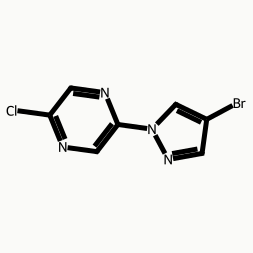 Clc1cnc(-n2cc(Br)cn2)cn1